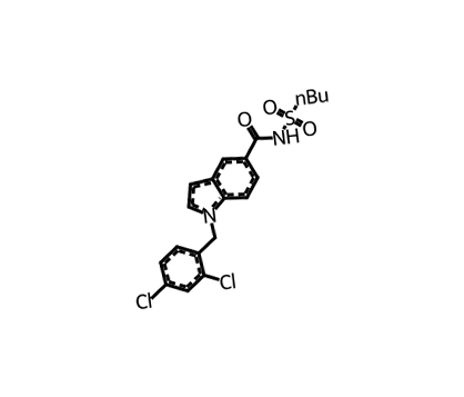 CCCCS(=O)(=O)NC(=O)c1ccc2c(ccn2Cc2ccc(Cl)cc2Cl)c1